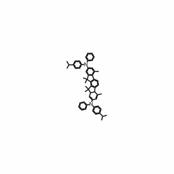 CC1=CC(N(c2ccccc2)c2ccc(C(C)C)cc2)=CC2C1c1ccc3c(c1C2(C)C)C(C)(C)c1cc(N(c2ccccc2)c2ccc(C(C)C)cc2)cc(C)c1-3